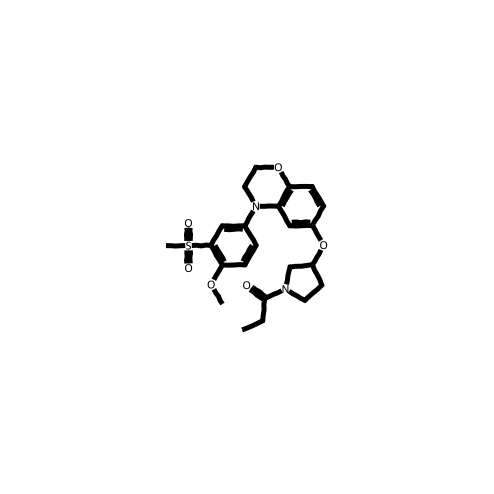 CCC(=O)N1CCC(Oc2ccc3c(c2)N(c2ccc(OC)c(S(C)(=O)=O)c2)CCO3)C1